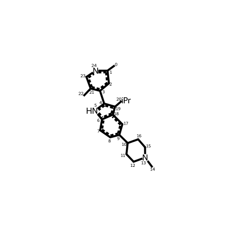 Cc1cc(-c2[nH]c3ccc(C4CCN(C)CC4)cc3c2C(C)C)c(C)cn1